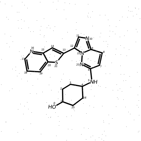 OC1CCC(Nc2ccc3ncc(-c4cc5ncccc5s4)n3n2)CC1